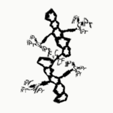 CC(C)[Si](C#Cc1c2cc3ccccc3cc2c(C#C[Si](C(C)C)(C(C)C)C(C)C)c2cc3c(C(c4cccc5cc6c(C#C[Si](C(C)C)(C(C)C)C(C)C)c7cc8ccccc8cc7c(C#C[Si](C(C)C)(C(C)C)C(C)C)c6cc45)(C(F)(F)F)C(F)(F)F)cccc3cc12)(C(C)C)C(C)C